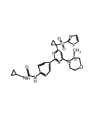 C[C@H]1COCCN1c1cc(C2(S(=O)(=O)c3nccs3)CC2)nc(-c2ccc(NC(=O)NC3CC3)cc2)n1